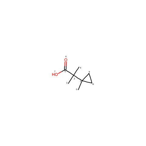 CC1(C(C)(C)C(=O)O)CC1